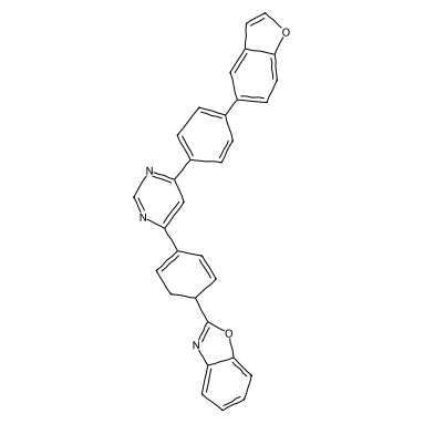 C1=CC(c2nc3ccccc3o2)CC=C1c1cc(-c2ccc(-c3ccc4occc4c3)cc2)ncn1